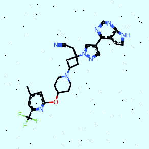 Cc1cc(OC2CCN(C3CC(CC#N)(n4cc(-c5ncnc6[nH]ccc56)cn4)C3)CC2)nc(C(F)(F)F)c1